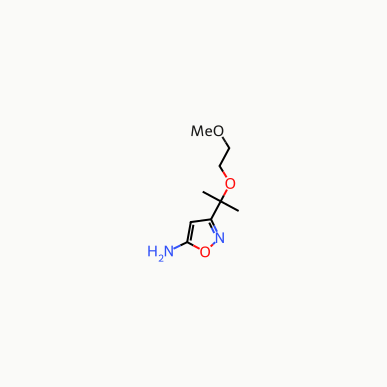 COCCOC(C)(C)c1cc(N)on1